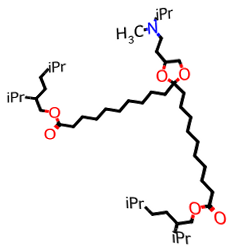 CC(C)CCC(COC(=O)CCCCCCCCCC1(CCCCCCCCCC(=O)OCC(CCC(C)C)C(C)C)OCC(CCN(C)C(C)C)O1)C(C)C